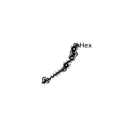 C=CC(=O)OCCCCCCCCCCCOc1ccc(CCC2CCC(C(=O)Oc3ccc(OCCCCCC)cc3)CC2)cc1